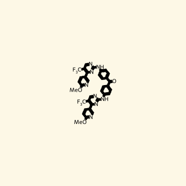 COc1ccc(-c2nc(Nc3ccc(C(=O)c4ccc(Nc5ncc(C(F)(F)F)c(-c6ccc(OC)nc6)n5)cc4)cc3)ncc2C(F)(F)F)cn1